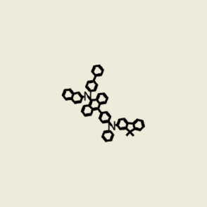 CC1(C)c2ccccc2-c2ccc(N(c3ccccc3)c3ccc(-c4c5ccccc5c(N(c5ccc(-c6ccccc6)cc5)c5ccc6ccccc6c5)c5ccccc45)cc3)cc21